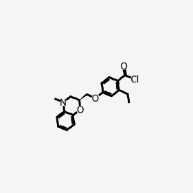 CCc1cc(OC[C@@H]2CN(C)c3ccccc3O2)ccc1C(=O)Cl